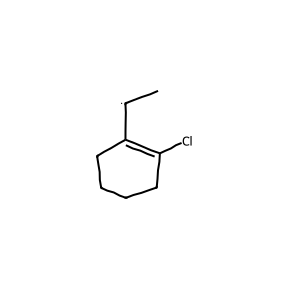 C[CH]C1=C(Cl)CCCC1